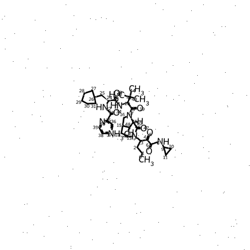 CCCC(C(=O)C(=O)NC1CC1)N1CCC2CN(C(=O)[C@@H](NC(=O)[C@H](CC3CCCCC3)NC(=O)c3cnccn3)C(C)(C)C)[C@H](C1=O)[C@H]2C